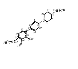 CCCCCC[C@H]1CC[C@H](C2C=CC(c3ccc(CCCCC)c(F)c3F)=CC2)CC1